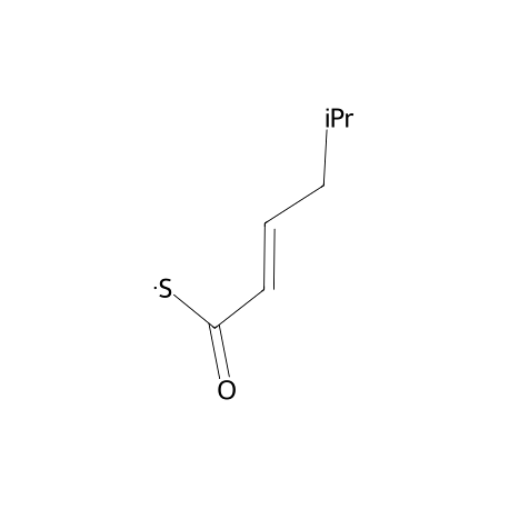 CC(C)CC=CC(=O)[S]